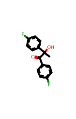 CC(O)(C(=O)c1ccc(F)cc1)c1ccc(F)cc1